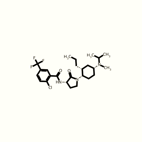 CCC[C@@H]1C[C@H](N(C)C(C)C)CC[C@@H]1N1CC[C@H](NC(=O)c2cc(C(F)(F)F)ccc2Cl)C1=O